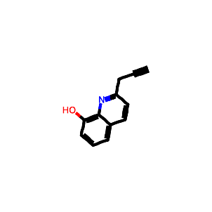 C#CCc1ccc2cccc(O)c2n1